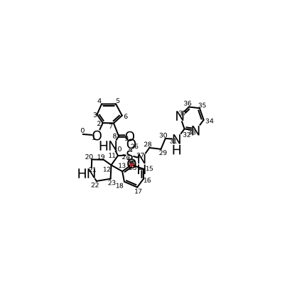 COc1ccccc1C(=O)NC(C1(c2ccccc2)CCNCC1)S(=O)(=O)NCCCNc1ncccn1